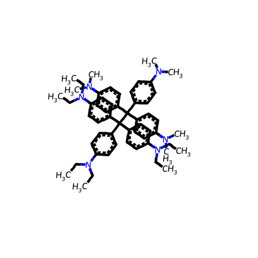 CCN(CC)c1ccc(C(c2ccc(N(CC)CC)cc2)(c2ccc(N(CC)CC)cc2)C(c2ccc(N(C)C)cc2)(c2ccc(N(C)C)cc2)c2ccc(N(C)C)cc2)cc1